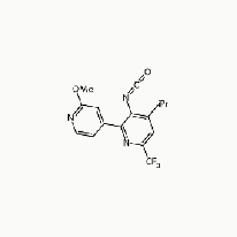 COc1cc(-c2nc(C(F)(F)F)cc(C(C)C)c2N=C=O)ccn1